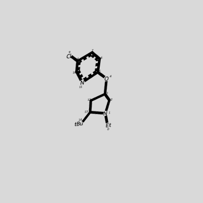 CCN1CC(Oc2ccc(Cl)cn2)CC1C(C)(C)C